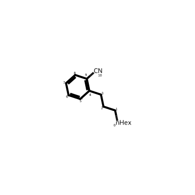 CCCCCCCCCc1[c]cccc1C#N